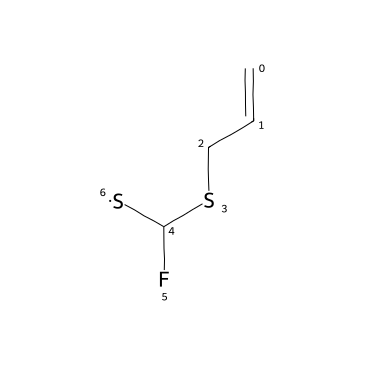 C=CCSC(F)[S]